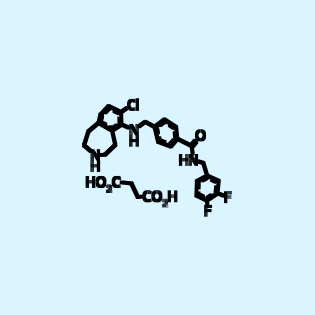 O=C(NCc1ccc(F)c(F)c1)c1ccc(CNc2c(Cl)ccc3c2CCNCC3)cc1.O=C(O)CCC(=O)O